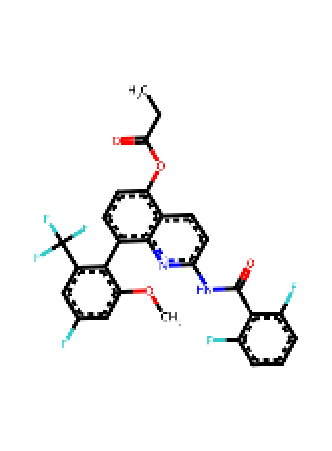 CCC(=O)Oc1ccc(-c2c(OC)cc(F)cc2C(F)(F)F)c2nc(NC(=O)c3c(F)cccc3F)ccc12